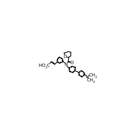 CN(C)c1ccc(-c2ccc(CN(C(=O)C3CCCCO3)c3cccc(/C=C/C(=O)O)c3)cc2)cc1